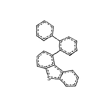 c1ccc(-c2ccccc2-c2cccc3sc4ccccc4c23)cc1